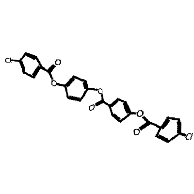 O=C(Oc1ccc(OC(=O)c2ccc(OC(=O)c3ccc(Cl)cc3)cc2)cc1)c1ccc(Cl)cc1